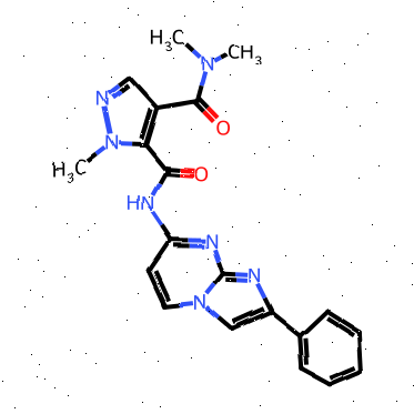 CN(C)C(=O)c1cnn(C)c1C(=O)Nc1ccn2cc(-c3ccccc3)nc2n1